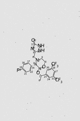 CC(O[C@H]1OCCN(Cc2nc(=O)[nH][nH]2)[C@H]1c1ccc(F)cc1)c1cc(C(F)(F)F)cc(C(F)(F)F)c1